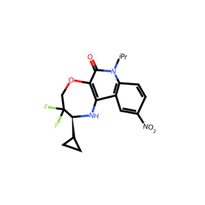 CC(C)n1c(=O)c2c(c3cc([N+](=O)[O-])ccc31)N[C@@H](C1CC1)C(F)(F)CO2